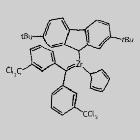 CC(C)(C)c1ccc2c(c1)[CH]([Zr](=[C](c1cccc(C(Cl)(Cl)Cl)c1)c1cccc(C(Cl)(Cl)Cl)c1)[CH]1C=CC=C1)c1cc(C(C)(C)C)ccc1-2